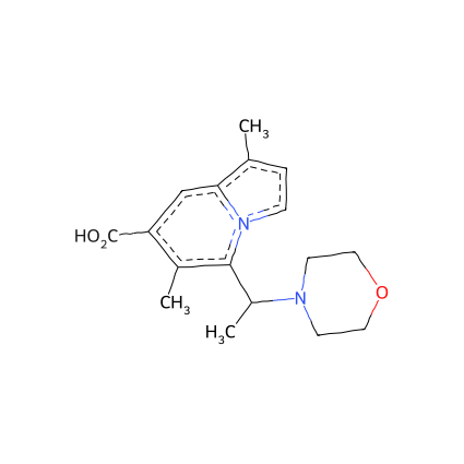 Cc1c(C(=O)O)cc2c(C)ccn2c1C(C)N1CCOCC1